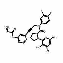 C=CC(=O)Nc1cc(C#CCN(C(=O)[C@@H]2CCCN2c2nc(C)cc(C(F)(F)F)c2C#N)c2ccc(F)c(Cl)c2)ncn1